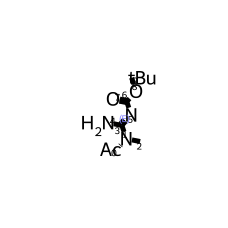 CC(=O)N(C)/C(N)=N/C(=O)OC(C)(C)C